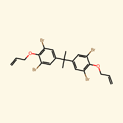 C=CCOc1c(Br)cc(C(C)(C)c2cc(Br)c(OCC=C)c(Br)c2)cc1Br